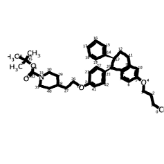 CCCCOc1ccc2c(c1)CC[C@H](c1ccccc1)[C@@H]2c1ccc(OCCC2CCN(C(=O)OC(C)(C)C)CC2)cc1